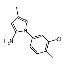 Cc1cc(N)n(-c2ccc(C)c(Cl)c2)n1